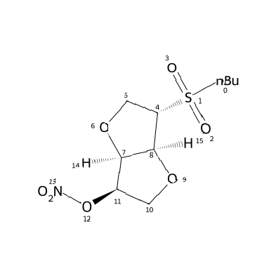 CCCCS(=O)(=O)[C@H]1CO[C@H]2[C@@H]1OC[C@H]2O[N+](=O)[O-]